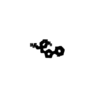 CC[Si](CC)(CC)O[C@@H]1CCN(c2ncccn2)C1